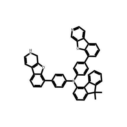 CC1(C)c2ccccc2-c2c(N(c3ccc(-c4cccc5c6c(oc45)CNC=C6)cc3)c3ccc(-c4cccc5c4oc4cnccc45)cc3)cccc21